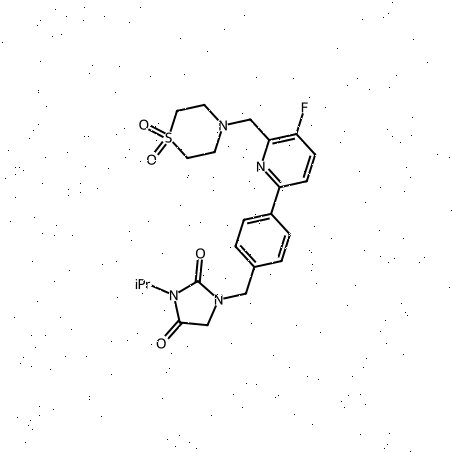 CC(C)N1C(=O)CN(Cc2ccc(-c3ccc(F)c(CN4CCS(=O)(=O)CC4)n3)cc2)C1=O